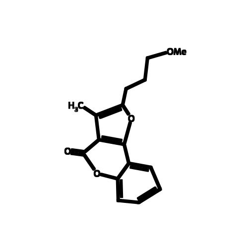 COCCCc1oc2c(c1C)c(=O)oc1ccccc12